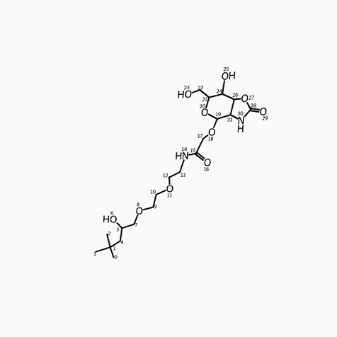 CC(C)(C)CC(O)COCCOCCNC(=O)COC1OC(CO)C(O)C2OC(=O)NC12